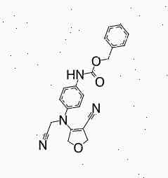 N#CCN(C1=C(C#N)COC1)c1ccc(NC(=O)OCc2ccccc2)cc1